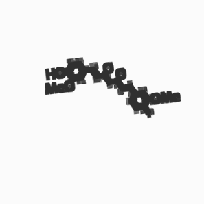 [CH2]c1ccc(/C=C/C(=O)CC(=O)/C=C/c2ccc(O)c(OC)c2)cc1OC